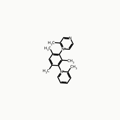 Cc1cc(C)c(-[n+]2ccncc2C)c(C)c1-[n+]1ccccc1C